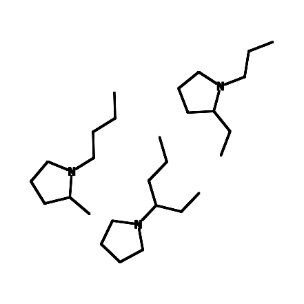 CCCC(CC)N1CCCC1.CCCCN1CCCC1C.CCCN1CCCC1CC